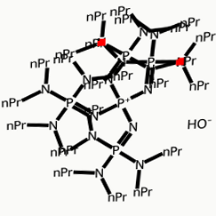 CCCN(CCC)P(=N[P+](N=P(N(CCC)CCC)(N(CCC)CCC)N(CCC)CCC)(N=P(N(CCC)CCC)(N(CCC)CCC)N(CCC)CCC)N=P(N(CCC)CCC)(N(CCC)CCC)N(CCC)CCC)(N(CCC)CCC)N(CCC)CCC.[OH-]